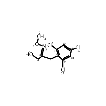 CON=C(CO)Cc1c(Cl)cc(Cl)cc1Cl